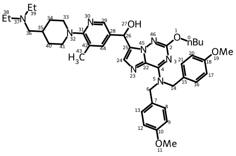 CCCCOc1nc(N(Cc2ccc(OC)cc2)Cc2ccc(OC)cc2)c2ncc(C(O)c3cnc(N4CCC(CN(CC)CC)CC4)c(C)c3)n2n1